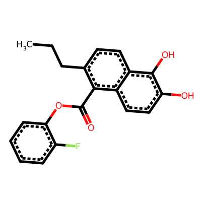 CCCc1ccc2c(O)c(O)ccc2c1C(=O)Oc1ccccc1F